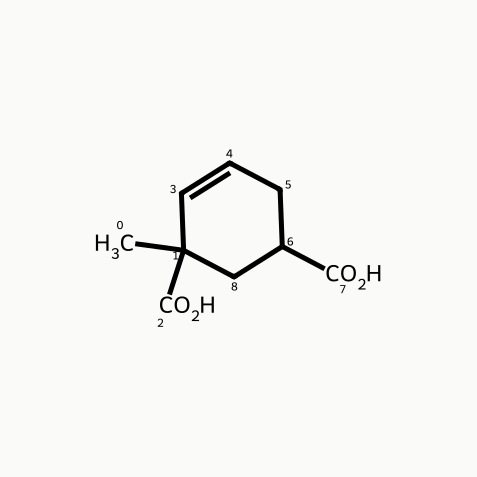 CC1(C(=O)O)C=CCC(C(=O)O)C1